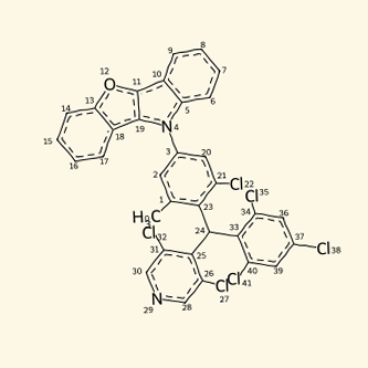 Cc1cc(-n2c3ccccc3c3oc4ccccc4c32)cc(Cl)c1C(c1c(Cl)cncc1Cl)c1c(Cl)cc(Cl)cc1Cl